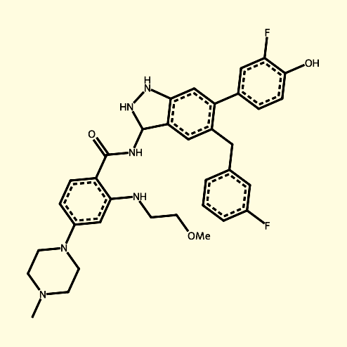 COCCNc1cc(N2CCN(C)CC2)ccc1C(=O)NC1NNc2cc(-c3ccc(O)c(F)c3)c(Cc3cccc(F)c3)cc21